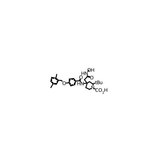 Cc1ccc(C)c(COc2ccc(C(=O)NC3(CC(=O)NO)CCN(C(=O)O)C(C(C)(C)C)C3)cc2)c1